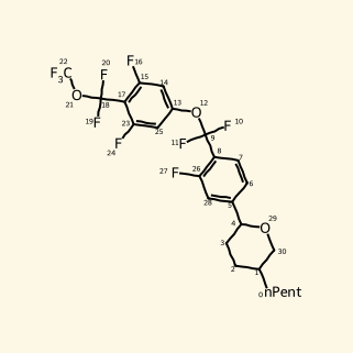 CCCCCC1CCC(c2ccc(C(F)(F)Oc3cc(F)c(C(F)(F)OC(F)(F)F)c(F)c3)c(F)c2)OC1